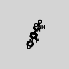 O=C1NN=C(c2ccc(N3CCOCC3)c(F)c2)CO1